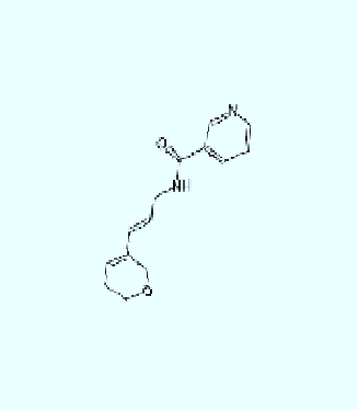 O=C(NC/C=C/C1=CCCOC1)c1cccnc1